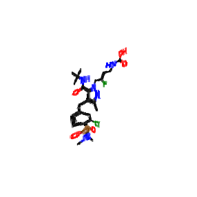 Cc1nn(CC(F)=CCNC(=O)O)c(C(=O)NC(C)(C)C)c1Cc1ccc(S(=O)(=O)N(C)C)c(Cl)c1